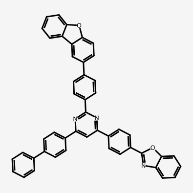 c1ccc(-c2ccc(-c3cc(-c4ccc(-c5nc6ccccc6o5)cc4)nc(-c4ccc(-c5ccc6oc7ccccc7c6c5)cc4)n3)cc2)cc1